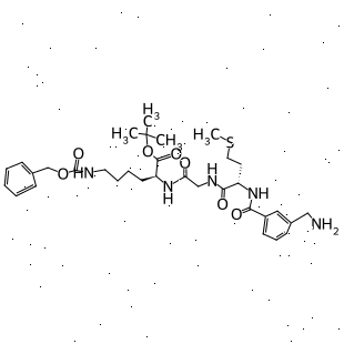 CSCC[C@H](NC(=O)c1cccc(CN)c1)C(=O)NCC(=O)N[C@@H](CCCCNC(=O)OCc1ccccc1)C(=O)OC(C)(C)C